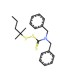 CCCC(C)(C)SSC(=S)N(Cc1ccccc1)Cc1ccccc1